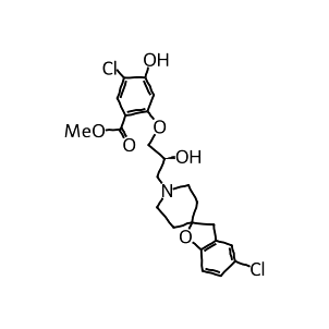 COC(=O)c1cc(Cl)c(O)cc1OC[C@@H](O)CN1CCC2(CC1)Cc1cc(Cl)ccc1O2